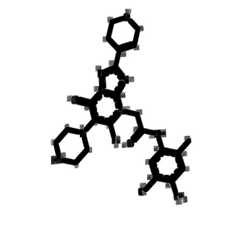 CCc1c(N2CCNCC2)c(=O)n2nc(C3=CCOCC3)nc2n1CC(=O)Nc1cc(Cl)c(C(F)(F)F)cc1C